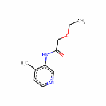 CCOCC(=O)Nc1cnccc1C